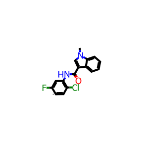 Cn1cc(C(=O)Nc2cc(F)[c]cc2Cl)c2ccccc21